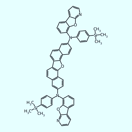 C[Si](C)(C)c1ccc(N(c2ccc3c(ccc4c5ccc6cc(N(c7ccc([Si](C)(C)C)cc7)c7cccc8c7oc7ncccc78)ccc6c5oc34)c2)c2cccc3c2oc2ncccc23)cc1